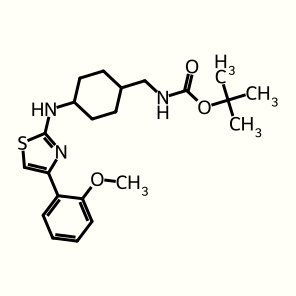 COc1ccccc1-c1csc(NC2CCC(CNC(=O)OC(C)(C)C)CC2)n1